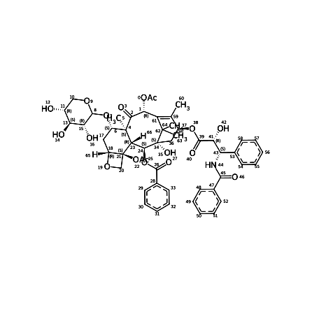 CC(=O)O[C@H]1C(=O)[C@]2(C)[C@@H](OC3OC[C@@H](O)[C@H](O)[C@H]3O)C[C@H]3OC[C@@]3(OC(C)=O)[C@H]2[C@H](OC(=O)c2ccccc2)[C@]2(O)C[C@H](OC(=O)[C@H](O)[C@@H](NC(=O)c3ccccc3)c3ccccc3)C(C)=C1C2(C)C